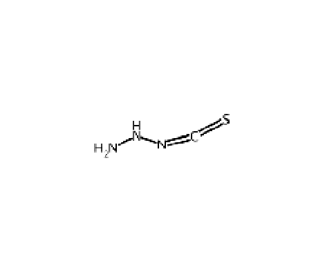 NNN=C=S